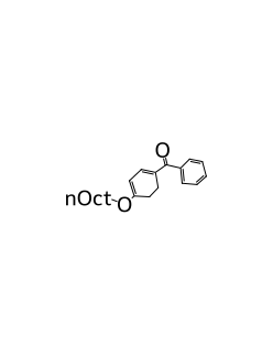 CCCCCCCCOC1=CC=C(C(=O)c2ccccc2)CC1